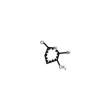 Cc1ccc(Cl)nc1Br